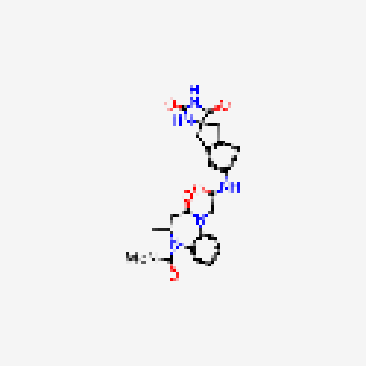 CNC(=O)N1c2ccccc2N(CC(=O)Nc2ccc3c(c2)CC2(C3)NC(=O)NC2=O)C(=O)CC1C